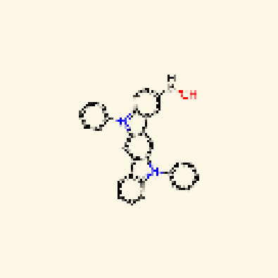 OBc1ccc2c(c1)c1cc3c(cc1n2-c1ccccc1)c1ccccc1n3-c1ccccc1